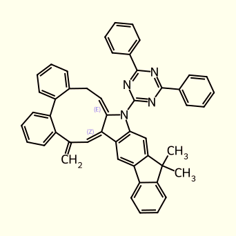 C=C1/C=c2\c(n(-c3nc(-c4ccccc4)nc(-c4ccccc4)n3)c3cc4c(cc23)-c2ccccc2C4(C)C)=C/Cc2ccccc2-c2ccccc21